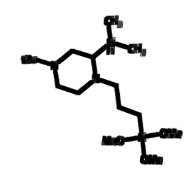 CO[Si](CCCN1CCN(C(C)(C)C)CC1[SiH](C)C)(OC)OC